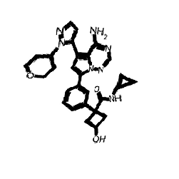 Nc1ncnn2c(-c3cccc(C4(C(=O)NC5CC5)CC(O)C4)c3)cc(-c3ccnn3C3CCOCC3)c12